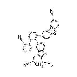 C=Cc1oc2ccc(-c3c(-c4ccc5sc6ccc(C#N)cc6c5c4)cccc3-c3ccccc3C#N)cc2c1/C=C(\C)C#N